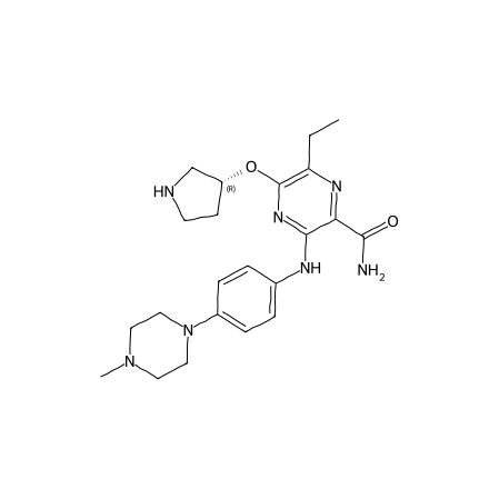 CCc1nc(C(N)=O)c(Nc2ccc(N3CCN(C)CC3)cc2)nc1O[C@@H]1CCNC1